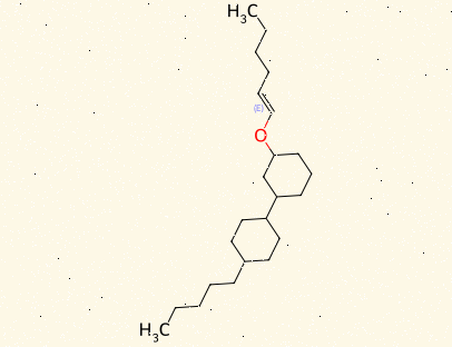 CCCC/C=C/OC1CCCC(C2CCC(CCCCC)CC2)C1